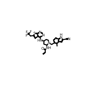 C=CC(=O)NC1CC(Nc2ncnc3sc(CC(F)(F)F)cc23)CCN1Cc1ccc2[nH]c(C#N)cc2c1C